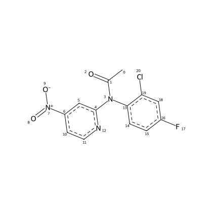 CC(=O)N(c1cc([N+](=O)[O-])ccn1)c1ccc(F)cc1Cl